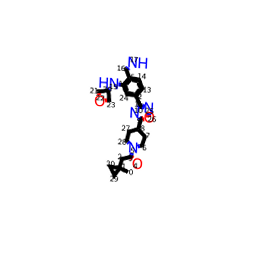 CC1(CC(=O)N2CCC(c3nc(-c4ccc(C=N)c(NC5COC5)c4)no3)CC2)CC1